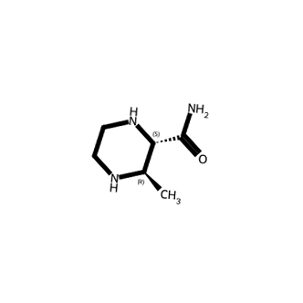 C[C@H]1NCCN[C@@H]1C(N)=O